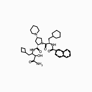 NC(=O)C(O)C(CC1CCC1)NC(=O)[C@@H]1C[C@H](N2CCCCC2)CN1C(=O)[C@@H](CC1CCCCC1)NC(=O)c1ccc2ccccc2c1